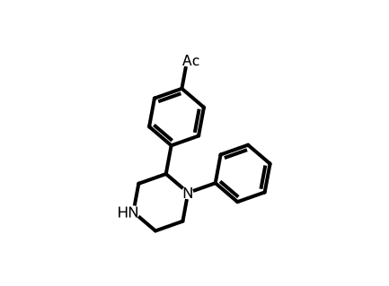 CC(=O)c1ccc(C2CNCCN2c2ccccc2)cc1